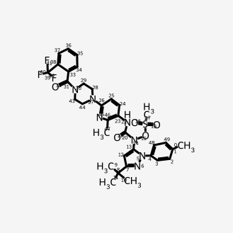 Cc1ccc(-n2nc(C(C)(C)C)cc2N(OS(C)(=O)=O)C(=O)Nc2ccc(N3CCN(C(=O)c4ccccc4C(F)(F)F)CC3)nc2C)cc1